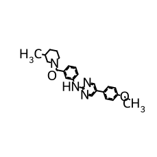 COc1ccc(-c2cnc(Nc3cccc(C(=O)N4CCCC(C)C4)c3)nc2)cc1